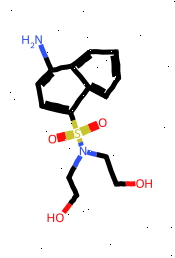 Nc1ccc(S(=O)(=O)N(CCO)CCO)c2ccccc12